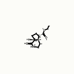 CCOC(=O)[C@H]1CC[C@H]2C(=O)NCCN12